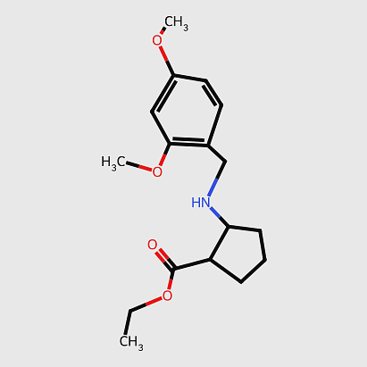 CCOC(=O)C1CCCC1NCc1ccc(OC)cc1OC